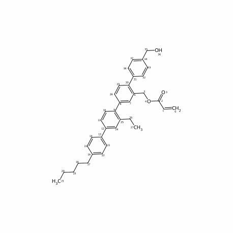 C=CC(=O)OCc1cc(-c2ccc(-c3ccc(CCCCC)cc3)cc2CC)ccc1-c1ccc(CO)cc1